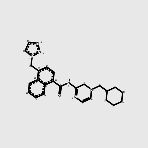 O=C(NC1=NC=CN(CC2CCCCC2)C1)c1ccc(Cn2ccnn2)c2ccccc12